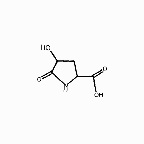 O=C1NC(C(=O)O)CC1O